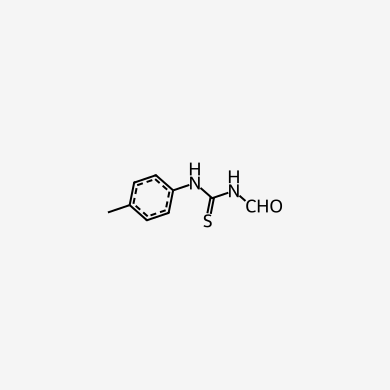 Cc1ccc(NC(=S)NC=O)cc1